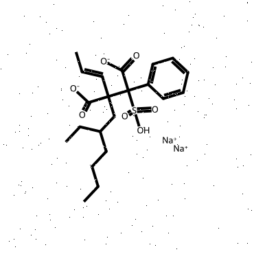 CC=CC(CC(CC)CCCC)(C(=O)[O-])C(C(=O)[O-])(c1ccccc1)S(=O)(=O)O.[Na+].[Na+]